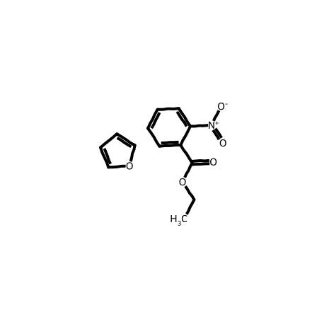 CCOC(=O)c1ccccc1[N+](=O)[O-].c1ccoc1